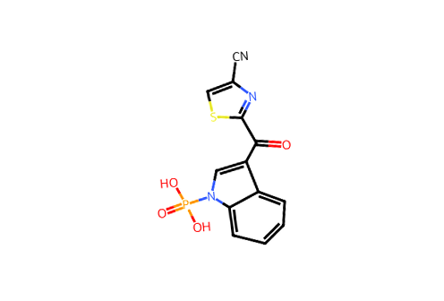 N#Cc1csc(C(=O)c2cn(P(=O)(O)O)c3ccccc23)n1